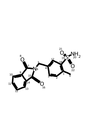 Cc1ccc(CN2C(=O)c3ccccc3C2=O)cc1S(N)(=O)=O